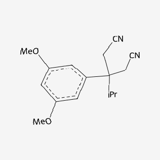 COc1cc(OC)cc(C(CC#N)(CC#N)C(C)C)c1